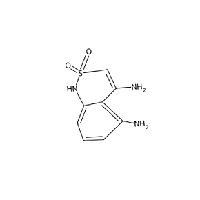 NC1=CS(=O)(=O)Nc2cccc(N)c21